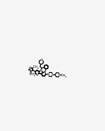 Cc1nnn(C)c1-c1cnc2c3ccc(N4CCN(C5CCN(C)CC5)CC4)nc3n(C(CC3CCOCC3)c3ccccc3F)c2c1